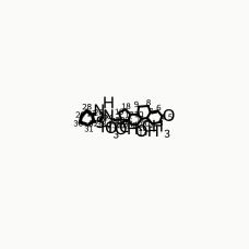 CC12CCC(=O)C=C1CCC1C2[C@@H](O)CC2(C)C1CC[C@]2(O)C(=O)Nc1nc2ccccc2s1